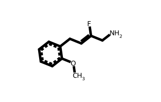 COc1ccccc1CC=C(F)CN